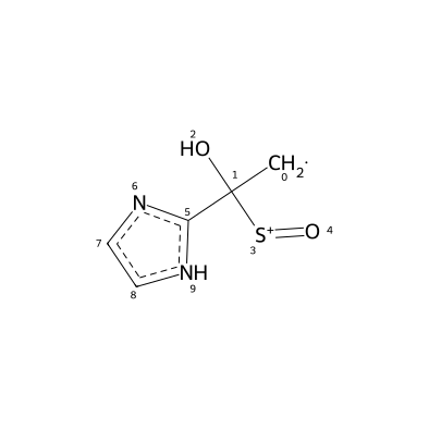 [CH2]C(O)([S+]=O)c1ncc[nH]1